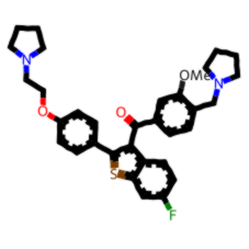 COc1cc(C(=O)c2c(-c3ccc(OCCN4CCCC4)cc3)sc3cc(F)ccc23)ccc1CN1CCCC1